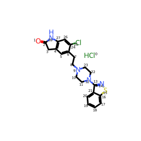 Cl.O=C1Cc2cc(CCN3CCN(c4nsc5ccccc45)CC3)c(Cl)cc2N1